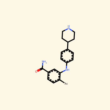 CC(=O)c1ccc(C(N)=O)cc1Nc1ccc(C2CCNCC2)cc1